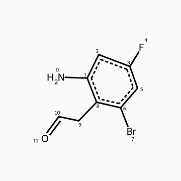 Nc1cc(F)cc(Br)c1CC=O